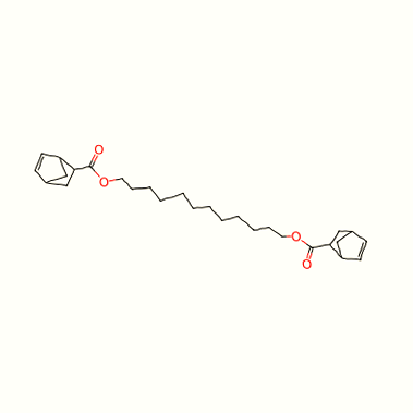 O=C(OCCCCCCCCCCCCOC(=O)C1CC2C=CC1C2)C1CC2C=CC1C2